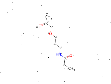 CCC(=O)NCCCOCC(C)=O